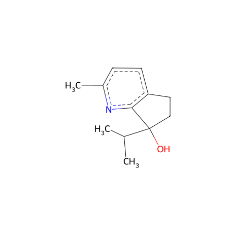 Cc1ccc2c(n1)C(O)(C(C)C)CC2